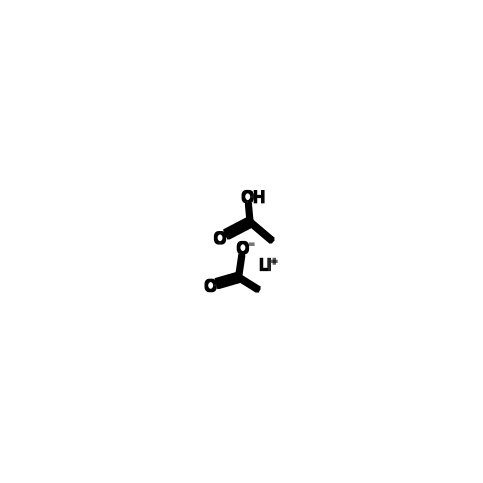 CC(=O)O.CC(=O)[O-].[Li+]